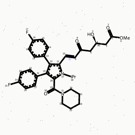 COC(=O)C[C@H](O)CC(=O)/C=C/c1c(-c2ccc(F)cc2)c(-c2ccc(F)cc2)c(C(=O)N2CCCCC2)n1C(C)C